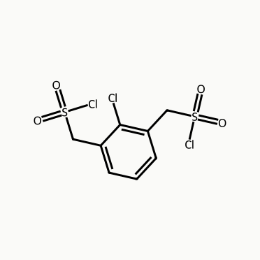 O=S(=O)(Cl)Cc1cccc(CS(=O)(=O)Cl)c1Cl